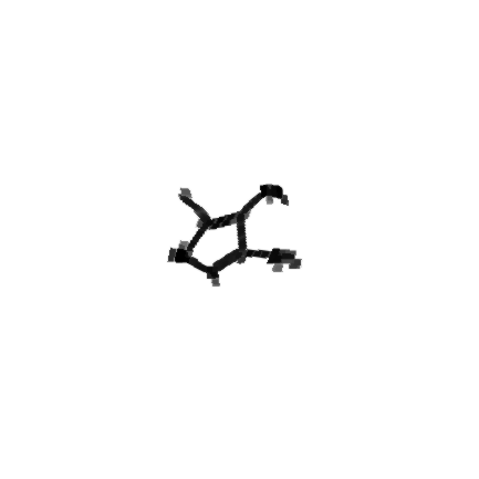 Cc1[nH]nc(N)c1[N+](=O)[O-]